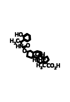 CC(NC(=O)OC1CC[C@@]2(C)C(CC[C@@H]3[C@@H]2CC[C@]2(C)C(C(=O)O)CC[C@@H]32)C1)c1ccccc1O